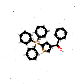 O=C(c1ccccc1)c1csc(S(c2ccccc2)(c2ccccc2)c2ccccc2)c1